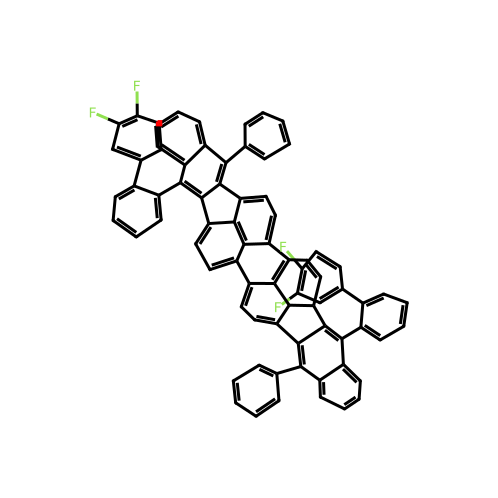 Fc1ccc(-c2ccccc2-c2c3c(c(-c4ccccc4)c4ccccc24)-c2ccc4c5c6c(c7ccc-3c2c47)=CC=C2c3c(c(-c4ccccc4-c4ccc(F)c(F)c4)c4ccccc4c3-c3ccccc3)C(C=C5)C26)cc1F